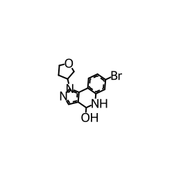 OC1Nc2cc(Br)ccc2-c2c1cnn2C1CCOC1